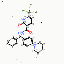 O=C(NC(c1ccccc1)c1ccc(N2CCCCC2)cc1)c1ccc(C(F)(F)F)[nH]c1=O